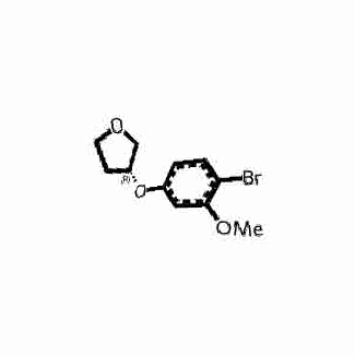 COc1cc(O[C@@H]2CCOC2)ccc1Br